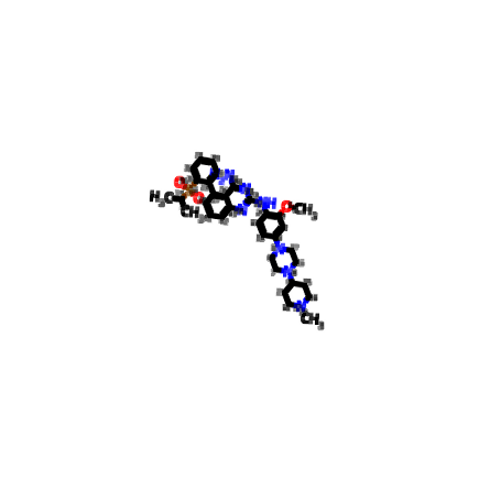 COc1cc(N2CCN(C3CCN(C)CC3)CC2)ccc1Nc1nc(N)c2c(-c3ccccc3S(=O)(=O)C(C)C)cccc2n1